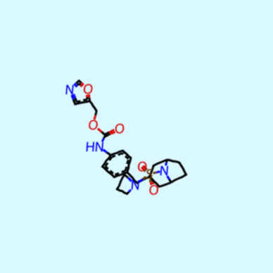 O=C(Nc1ccc(CC2CC3CCC(C2)N3S(=O)(=O)N2CCC2)cc1)OCc1cnco1